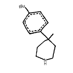 CC(C)(C)c1ccc(C2(C)CCNCC2)cc1